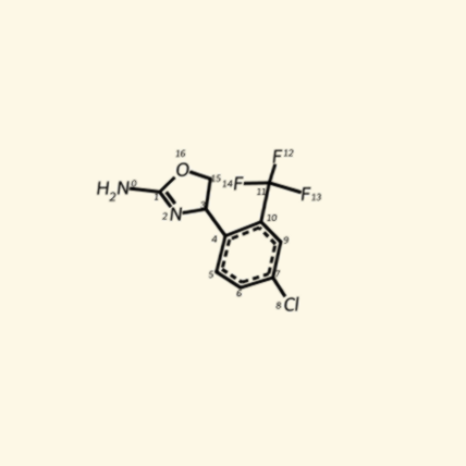 NC1=NC(c2ccc(Cl)cc2C(F)(F)F)CO1